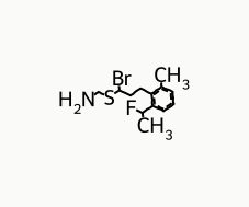 Cc1cccc(C(C)F)c1CCC(Br)SCN